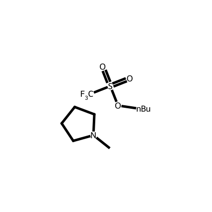 CCCCOS(=O)(=O)C(F)(F)F.CN1CCCC1